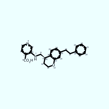 O=C(O)c1ccncc1NC[C@@H]1CCOc2cc(CCc3ccccc3)ccc21